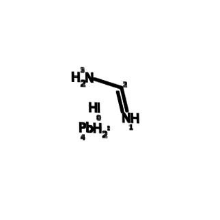 I.N=CN.[PbH2]